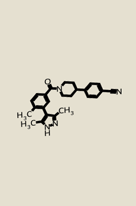 Cc1ccc(C(=O)N2CCC(c3ccc(C#N)cc3)CC2)cc1-c1c(C)n[nH]c1C